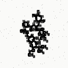 CCOC(=O)[C@H](Nc1ccc(CNC(=O)[C@@H]2SCCN2C(=O)C[C@@H](Cc2cc(F)c(F)cc2F)NC(=O)OC(C)(C)C)cc1)C(C)C